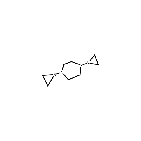 C1CN1N1CCN(N2CC2)CC1